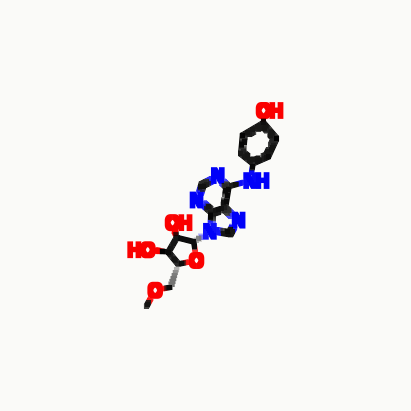 COC[C@H]1O[C@@H](n2cnc3c(Nc4ccc(O)cc4)ncnc32)[C@H](O)[C@@H]1O